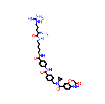 N=C(N)NCCCC(N)C(=O)NCCCCCNC(=O)c1ccc(NC(=O)c2ccc(CN(C(=O)c3ccc4c(c3)OCC(=O)N4)C3CC3)cc2)cc1